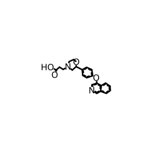 O=C(O)CCN1CCOC(c2ccc(Oc3cncc4ccccc34)cc2)C1